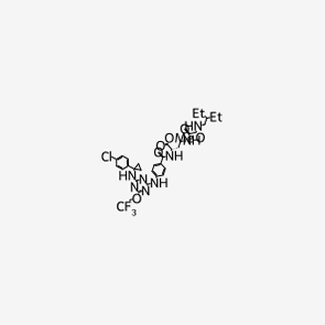 CCC(CC)CNC(=O)C(=O)NCC[C@H](NC(=O)c1ccc(Nc2nc(NC3(c4ccc(Cl)cc4)CC3)nc(OCC(F)(F)F)n2)cc1)C(=O)OC